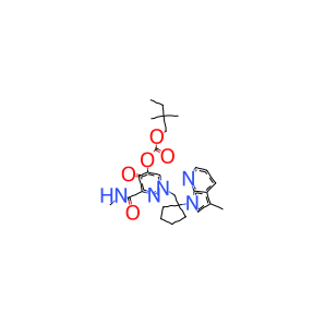 CCC(C)(C)COC(=O)Oc1cn(CC2(n3cc(C)c4cccnc43)CCCC2)nc(C(=O)NC)c1=O